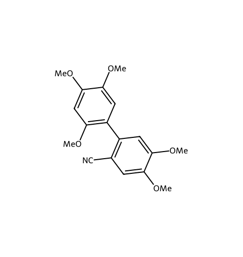 COc1cc(C#N)c(-c2cc(OC)c(OC)cc2OC)cc1OC